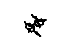 CC#CC12CC3(C)CC(C)(C1)CC(C14CC5(C)CC(C)(CC(C#CC)(C5)C1)C4)(C3)C2